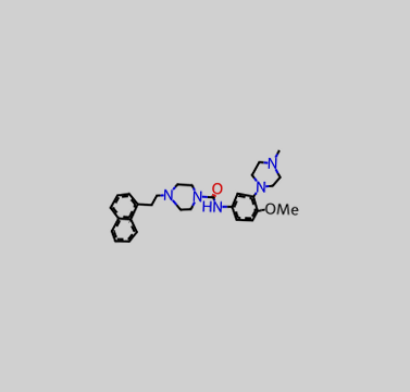 COc1ccc(NC(=O)N2CCN(CCc3cccc4ccccc34)CC2)cc1N1CCN(C)CC1